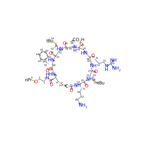 CCCOCCNC(=O)[C@@H]1CSCC(=O)N[C@@H](CCCCN)C(=O)N[C@@H](CSC(C)(C)C)C(=O)N[C@@H](CCCNC(=N)N)C(=O)NCC(=O)N[C@@H](CC(=O)O)C(=O)N[C@@H](CSC(C)(C)C)C(=O)N[C@@H](Cc2ccccc2)C(=O)N1